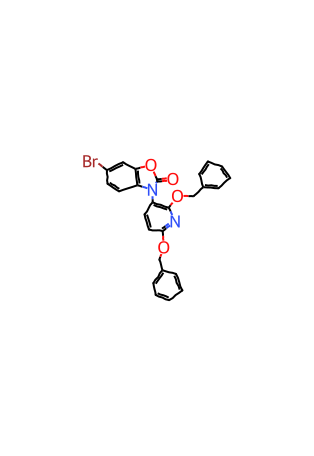 O=c1oc2cc(Br)ccc2n1-c1ccc(OCc2ccccc2)nc1OCc1ccccc1